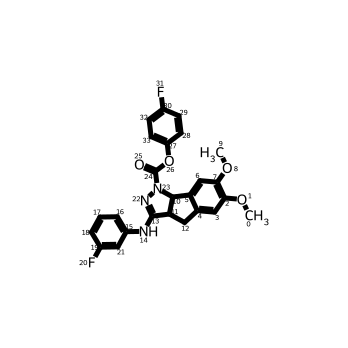 COc1cc2c(cc1OC)C1C(C2)C(Nc2cccc(F)c2)=NN1C(=O)Oc1ccc(F)cc1